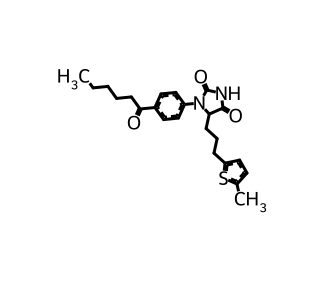 CCCCCC(=O)c1ccc(N2C(=O)NC(=O)C2CCCc2ccc(C)s2)cc1